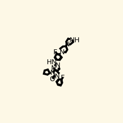 O=C1N(c2ccccc2F)Cc2cnc(Nc3ccc(N4CCC(N5CCNCC5)CC4)c(F)c3)nc2N1C1CCCC1